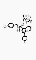 O=C(NCc1ccc(Cl)cc1)c1nc(-c2ccc(F)cc2)n2ccccc12.O=C(O)C(F)(F)F